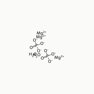 O.O.O=P([O-])([O-])[O-].O=P([O-])([O-])[O-].[Mg+2].[Mg+2].[Mg+2]